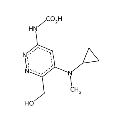 CN(c1cc(NC(=O)O)nnc1CO)C1CC1